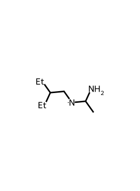 CCC(CC)C[N]C(C)N